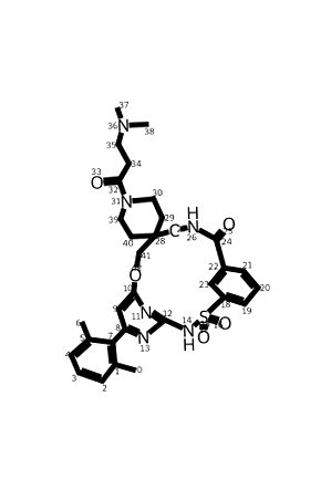 Cc1cccc(C)c1-c1cc2nc(n1)NS(=O)(=O)c1cccc(c1)C(=O)NCC1(CCN(C(=O)CCN(C)C)CC1)CO2